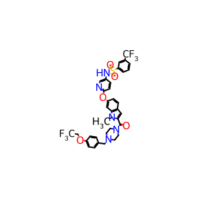 Cn1c(C(=O)N2CCN(Cc3ccc(OCC(F)(F)F)cc3)CC2)cc2ccc(Oc3ccc(NS(=O)(=O)c4cccc(C(F)(F)F)c4)cn3)cc21